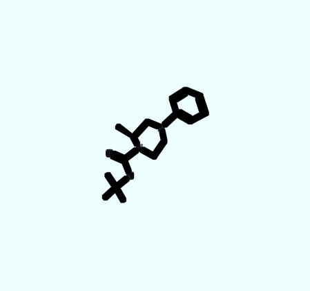 C[C@H]1CN(c2ccccc2)CCN1C(=O)OC(C)(C)C